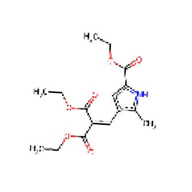 CCOC(=O)C(=Cc1cc(C(=O)OCC)[nH]c1C)C(=O)OCC